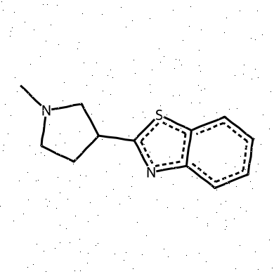 CN1CCC(c2nc3ccccc3s2)C1